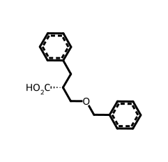 O=C(O)[C@@H](COCc1ccccc1)Cc1ccccc1